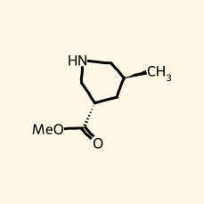 COC(=O)[C@@H]1CNC[C@@H](C)C1